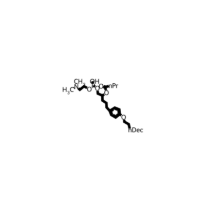 CCCCCCCCCCCCOc1ccc(CCCC(COP(O)OCCN(C)C)OC(=O)CCC)cc1